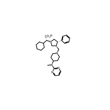 CN(c1ncccn1)C1CCN(C[C@H]2CN([C@@H](C(=O)O)C3CCCCC3)C[C@@H]2c2ccccc2)CC1